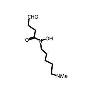 CNCCCCCN(O)C(=O)CCC=O